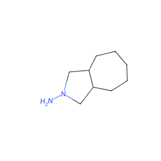 NN1CC2CCCCCC2C1